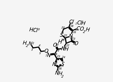 Cl.Cl.NCCCO/N=C(\C(=O)NC1C(=O)N2C(C(=O)O)=C(Cl)CS[C@H]12)c1csc(N)n1